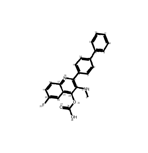 CNc1c(-c2ccc(-c3ccccc3)cc2)nc2ccc(F)cc2c1OC(=O)O